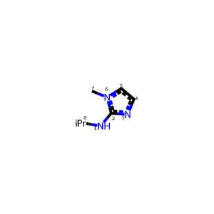 CC(C)Nc1nccn1C